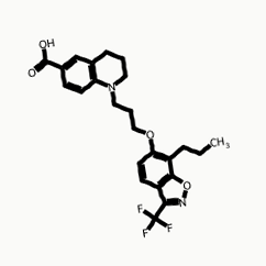 CCCc1c(OCCCN2CCCc3cc(C(=O)O)ccc32)ccc2c(C(F)(F)F)noc12